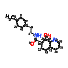 Cc1ccc(CCNC(=O)c2ccc3cccnc3c2O)cc1